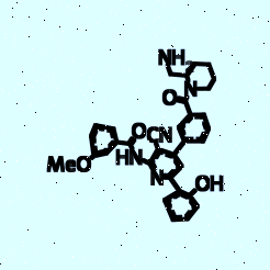 COc1cccc(C(=O)Nc2nc(-c3ccccc3O)cc(-c3cccc(C(=O)N4CCCCC4CN)c3)c2C#N)c1